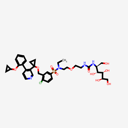 CCN(CCOCCNC(=O)N[C@@H](CO)[C@@H](O)[C@H](O)[C@H](O)CO)S(=O)(=O)c1ccc(Cl)c(COC2(c3cnccc3-c3ccccc3OC3CC3)CC2)c1